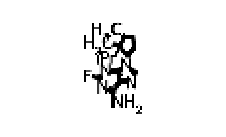 CC(C)[C@]1(C)C(n2cnc3c(N)nc(F)nc32)=CCC1C